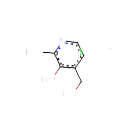 Cc1nccc(CO)c1O.Cl.Cl